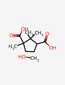 CC1(C(=O)O)CCC(C(=O)O)C1(C)C.CO